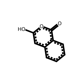 O=c1oc(O)cc2ccccc12